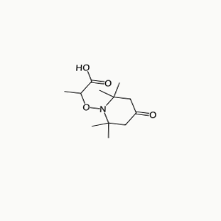 CC(ON1C(C)(C)CC(=O)CC1(C)C)C(=O)O